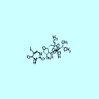 C[C@@H](O)P(=O)(O)OC(C)(C)C[C@H]1O[C@@H](n2cc(I)c(=O)[nH]c2=O)[C@H](O)[C@@H]1O